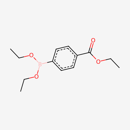 CCOB(OCC)c1ccc(C(=O)OCC)cc1